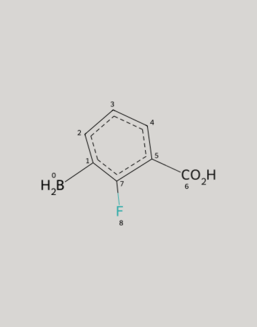 Bc1cccc(C(=O)O)c1F